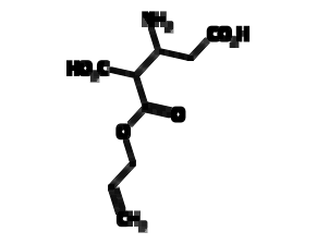 C=CCOC(=O)C(C(=O)O)C(N)CC(=O)O